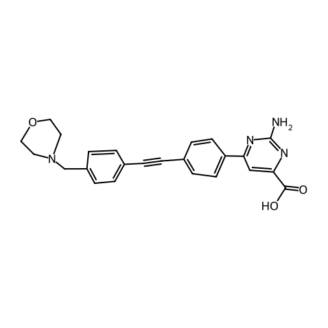 Nc1nc(C(=O)O)cc(-c2ccc(C#Cc3ccc(CN4CCOCC4)cc3)cc2)n1